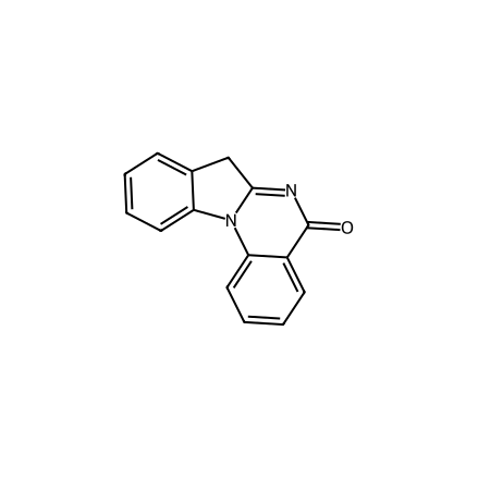 O=c1nc2n(c3ccccc13)-c1ccccc1C2